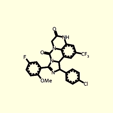 COc1ccc(F)cc1C1=NC(c2ccc(Cl)cc2)C2c3cc(C(F)(F)F)cc4c3N(CC(=O)N4)C(=O)N12